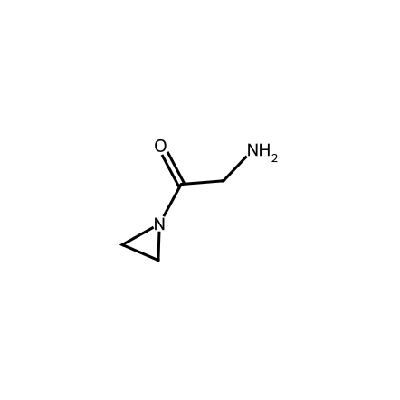 NCC(=O)N1CC1